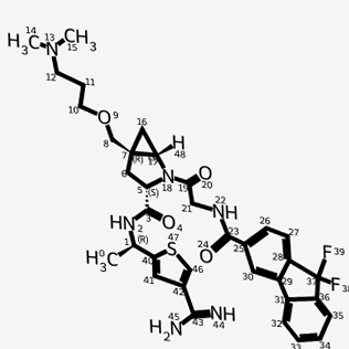 C[C@@H](NC(=O)[C@@H]1C[C@]2(COCCCN(C)C)C[C@@H]2N1C(=O)CNC(=O)c1ccc2c(c1)-c1ccccc1C2(F)F)c1cc(C(=N)N)cs1